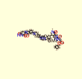 COc1cc(-c2cn(C)c(=O)c3c2CCN(C(=O)NCC(=O)OCc2ccccc2)C3)cc(OC)c1CN1CCN(CCC2CCN(c3ccc4c(c3)C(=O)N(C3CCC(=O)NC3=O)C4)CC2)CC1